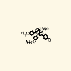 COC(=O)c1sc(C2CCC(=O)CC2)cc1N(C(=O)C1CCC(C)CC1)C1CCC(OC)CC1